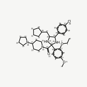 CCOc1cc(OC)ccc1C1(C(=O)N2CCC(N3CCCC3)CC2)NC(CC2CCCC2)C(c2ccc(Cl)cc2)N1